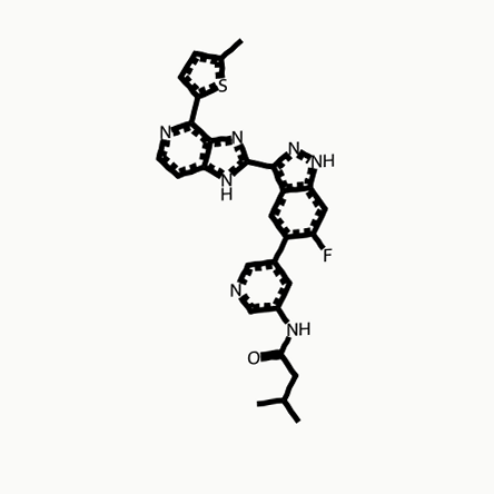 Cc1ccc(-c2nccc3[nH]c(-c4n[nH]c5cc(F)c(-c6cncc(NC(=O)CC(C)C)c6)cc45)nc23)s1